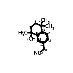 CC1(C)CCC(C)(C)c2cc(CC#N)ccc21